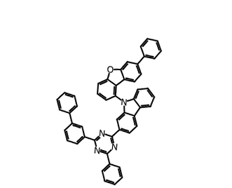 c1ccc(-c2cccc(-c3nc(-c4ccccc4)nc(-c4ccc5c6ccccc6n(-c6cccc7oc8cc(-c9ccccc9)ccc8c67)c5c4)n3)c2)cc1